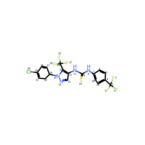 FC(F)(F)c1ccc(NC(=S)Nc2cnn(C3C=CC(Cl)=CC3)c2C(F)(F)F)cc1